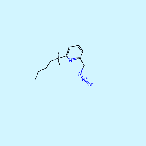 CCCCC(C)(C)c1cccc(CN=[N+]=[N-])n1